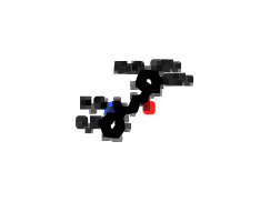 COc1cc(C(=O)C=Cc2cn(C)c3c([N+](=O)[O-])cccc23)cc(OC)c1OC